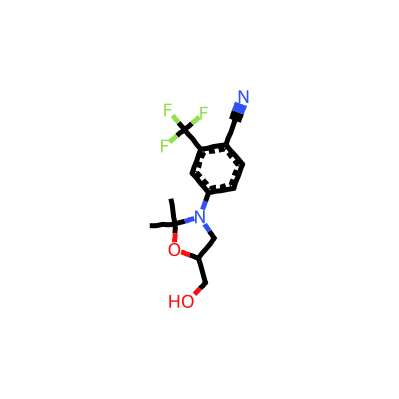 CC1(C)OC(CO)CN1c1ccc(C#N)c(C(F)(F)F)c1